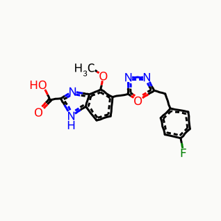 COc1c(-c2nnc(Cc3ccc(F)cc3)o2)ccc2[nH]c(C(=O)O)nc12